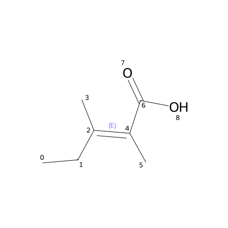 CC/C(C)=C(\C)C(=O)O